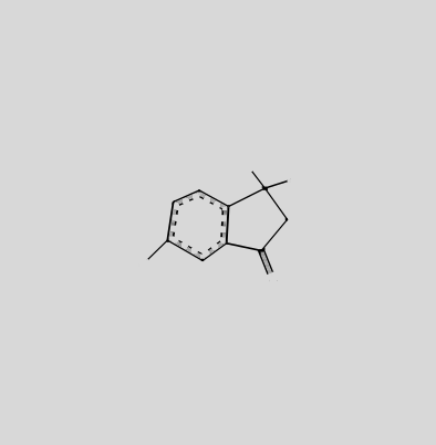 Cc1ccc2c(c1)C(=O)CC2(C)C